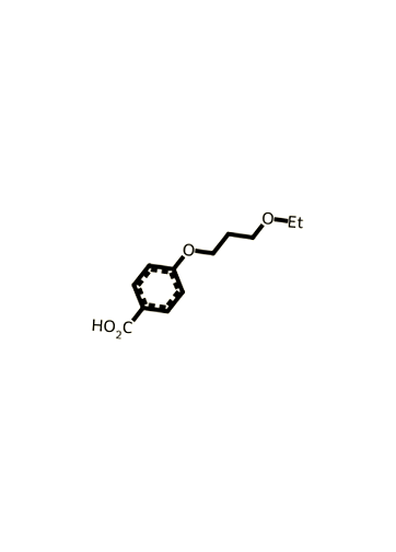 CCOCCCOc1ccc(C(=O)O)cc1